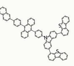 c1ccc2cc(-c3ccc(-c4c5ccccc5c(-c5ccc(-n6c7ccc(-c8cccc9c8sc8ccccc89)cc7c7cc(-c8cccc9c8sc8ccccc89)ccc76)cc5)c5ccccc45)cc3)ccc2c1